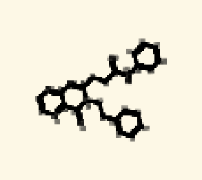 O=C(CCc1nc2nccnc2c(=O)n1CCc1ccccc1)Nc1ccccc1